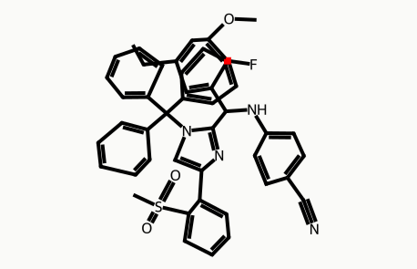 CCc1cc(OC)c(F)c(C(Nc2ccc(C#N)cc2)c2nc(-c3ccccc3S(C)(=O)=O)cn2C(c2ccccc2)(c2ccccc2)c2ccccc2)c1